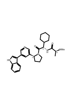 CN[C@@H](C)C(=O)N[C@H](C(=O)N1CCC[C@H]1c1cncc(-c2c[nH]c3ccccc23)c1)C1CCCCC1